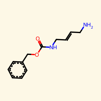 NC/C=C/CNC(=O)OCc1ccccc1